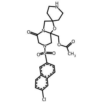 CC(=O)OCC12CN(S(=O)(=O)c3ccc4cc(Cl)ccc4c3)CC(=O)N1CC1(CCNCC1)O2